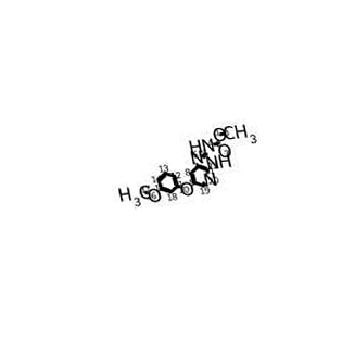 COC(=O)Nc1nc2cc(Oc3cccc(OC)c3)cnc2[nH]1